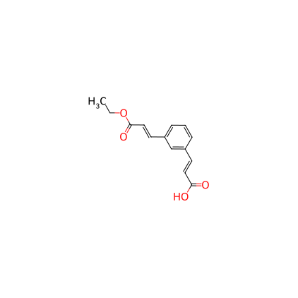 CCOC(=O)/C=C/c1cccc(/C=C/C(=O)O)c1